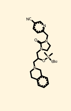 CC(C)(C)[Si](C)(C)OC(CN1CCc2ccccc2C1)CN1CCN(Cc2ccc(C#N)cn2)C1=O